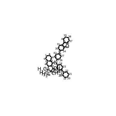 CC1(C)c2cc3ccccc3c(N(c3ccc(-c4ccccc4)cc3)c3ccc(-c4ccc5c(c4)oc4ccccc45)cc3)c2C(C)(C)C1(C)C